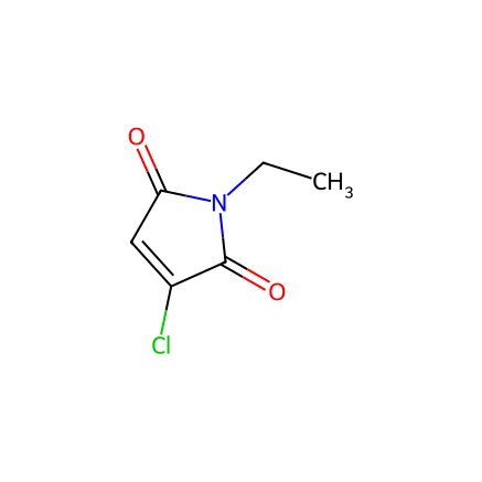 CCN1C(=O)C=C(Cl)C1=O